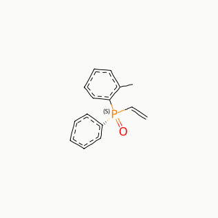 C=C[P@](=O)(c1ccccc1)c1ccccc1C